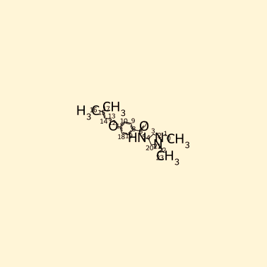 CCN1CC(NC(=O)c2ccc(OCC=C(C)C)cc2)CN1CC